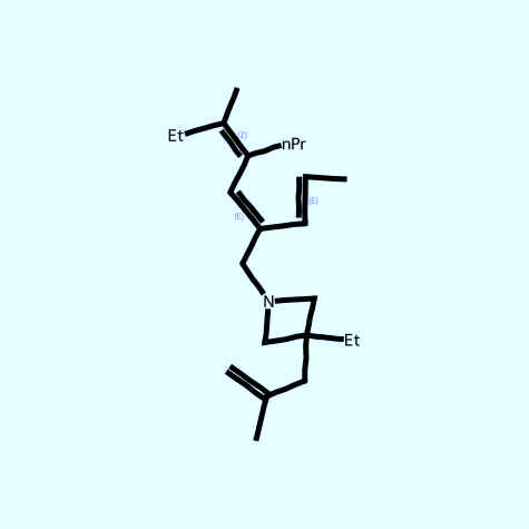 C=C(C)CC1(CC)CN(CC(/C=C/C)=C/C(CCC)=C(/C)CC)C1